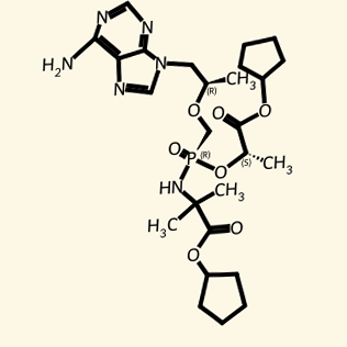 C[C@H](Cn1cnc2c(N)ncnc21)OC[P@](=O)(NC(C)(C)C(=O)OC1CCCC1)O[C@@H](C)C(=O)OC1CCCC1